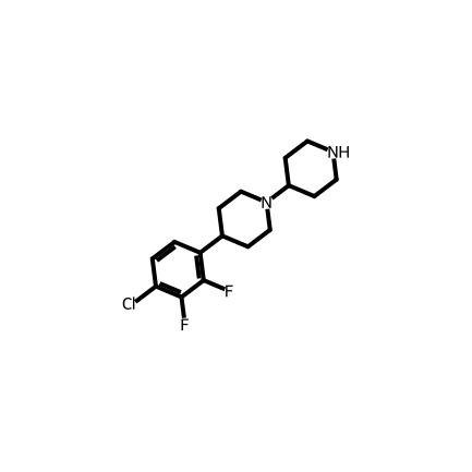 Fc1c(Cl)ccc(C2CCN(C3CCNCC3)CC2)c1F